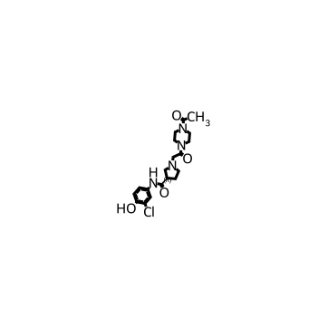 CC(=O)N1CCN(C(=O)CN2CC[C@@H](C(=O)Nc3ccc(O)c(Cl)c3)C2)CC1